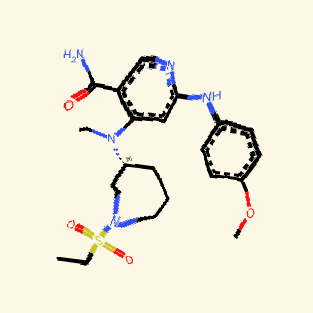 CCS(=O)(=O)N1CCC[C@@H](N(C)c2cc(Nc3ccc(OC)cc3)ncc2C(N)=O)C1